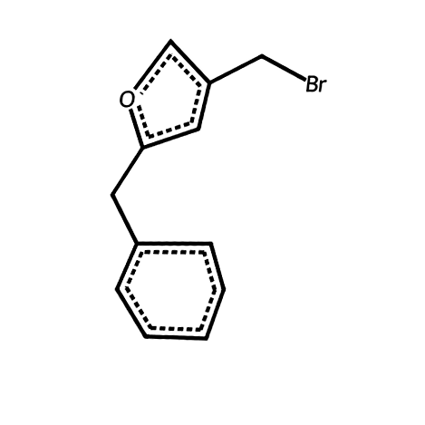 BrCc1coc(Cc2ccccc2)c1